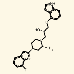 C[C@@H]1C[C@@H](c2cc3cccc(F)c3s2)CCN1C[C@H](O)COc1cccc2[nH]ccc12